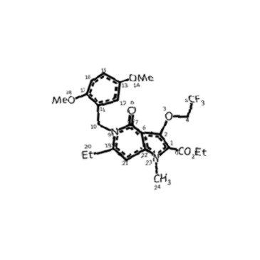 CCOC(=O)c1c(OCC(F)(F)F)c2c(=O)n(Cc3cc(OC)ccc3OC)c(CC)cc2n1C